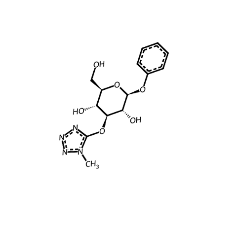 Cn1nnnc1O[C@@H]1[C@@H](O)[C@H](Oc2ccccc2)O[C@H](CO)[C@H]1O